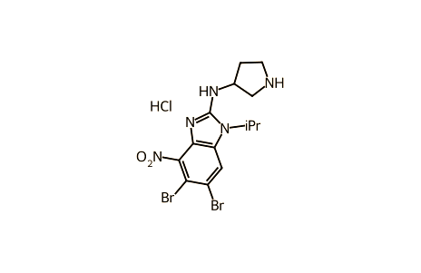 CC(C)n1c(NC2CCNC2)nc2c([N+](=O)[O-])c(Br)c(Br)cc21.Cl